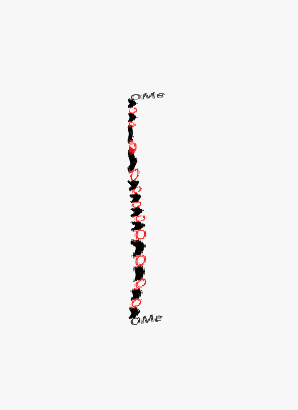 COCCCOCCCOCCCOCCCOCCCOCCCOCCCOCCCOCCCOCCCOCCCOCCCOC